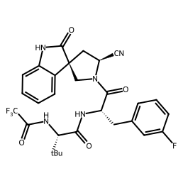 CC(C)(C)[C@H](NC(=O)C(F)(F)F)C(=O)N[C@@H](Cc1cccc(F)c1)C(=O)N1C[C@]2(C[C@H]1C#N)C(=O)Nc1ccccc12